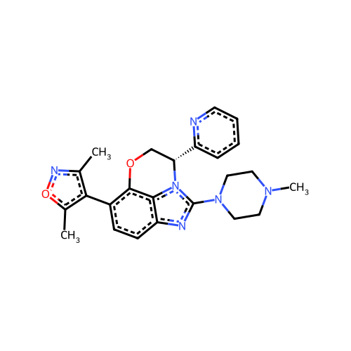 Cc1noc(C)c1-c1ccc2nc(N3CCN(C)CC3)n3c2c1OC[C@@H]3c1ccccn1